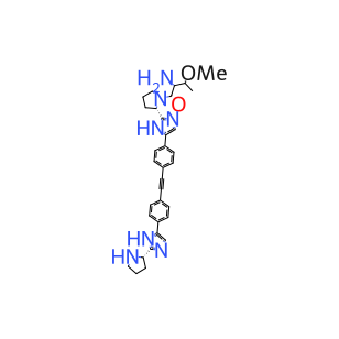 CO[C@@H](C)[C@@H](N)C(=O)N1CCC[C@H]1c1ncc(-c2ccc(C#Cc3ccc(-c4cnc([C@@H]5CCCN5)[nH]4)cc3)cc2)[nH]1